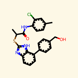 Cc1ccc(NC(=O)C(C)Sc2nc3cccc(-c4ccc(CO)cc4)c3[nH]2)c(Cl)c1